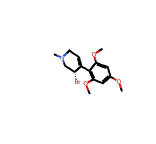 COc1cc(OC)c(C2=CCN(C)C[C@H]2Br)c(OC)c1